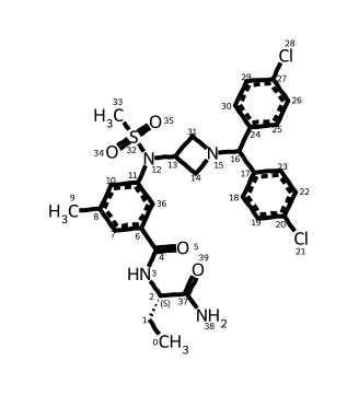 CC[C@H](NC(=O)c1cc(C)cc(N(C2CN(C(c3ccc(Cl)cc3)c3ccc(Cl)cc3)C2)S(C)(=O)=O)c1)C(N)=O